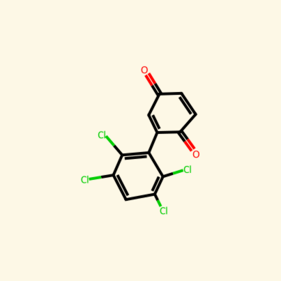 O=C1C=CC(=O)C(c2c(Cl)c(Cl)cc(Cl)c2Cl)=C1